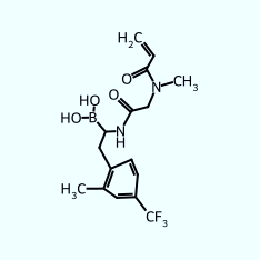 C=CC(=O)N(C)CC(=O)NC(Cc1ccc(C(F)(F)F)cc1C)B(O)O